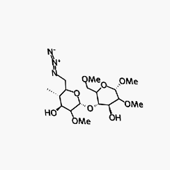 COCC1O[C@H](OC)C(OC)[C@@H](O)[C@@H]1O[C@H]1OC(CN=[N+]=[N-])[C@@H](C)[C@H](O)C1OC